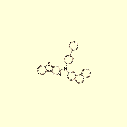 c1ccc(-c2ccc(N(c3ccc4ccc5ccccc5c4c3)c3cc4sc5ccccc5c4cn3)cc2)cc1